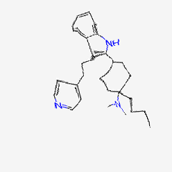 CCCCC1(N(C)C)CCC(c2[nH]c3ccccc3c2CCc2ccncc2)CC1